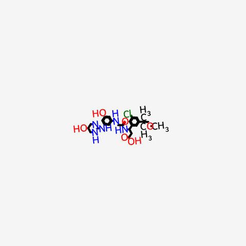 COCC(C)(C)c1cc(Cl)cc(C(CC(=O)O)NC(=O)CNc2cc(O)cc(NC3=NCC(O)CN3)c2)c1